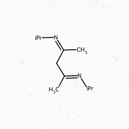 CC(CC(C)=NC(C)C)=NC(C)C